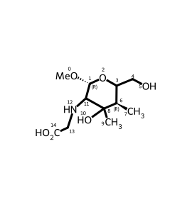 CO[C@@H]1OC(CO)[C@@H](C)C(C)(O)C1NCC(=O)O